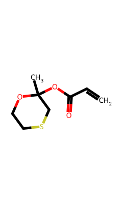 C=CC(=O)OC1(C)CSCCO1